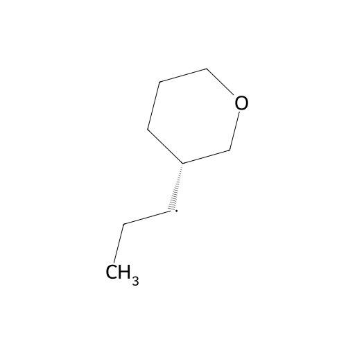 CC[CH][C@@H]1CCCOC1